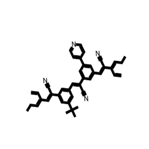 C=CC(/C=C(\C#N)c1cc(/C=C(\C#N)c2cc(/C=C(C#N)/C(C=C)=C/CC)cc(-c3ccncc3)c2)cc(C(C)(C)C)c1)=C\CC